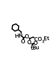 CCOC(=O)CC(OC(=O)NCC1CCCCC1)OC(=O)C(C)(C)C